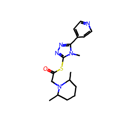 CC1CCCC(C)N1CC(=O)Sc1nnc(-c2ccncc2)n1C